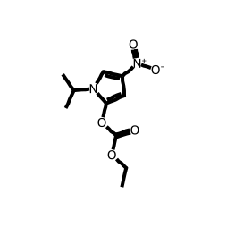 CCOC(=O)Oc1cc([N+](=O)[O-])cn1C(C)C